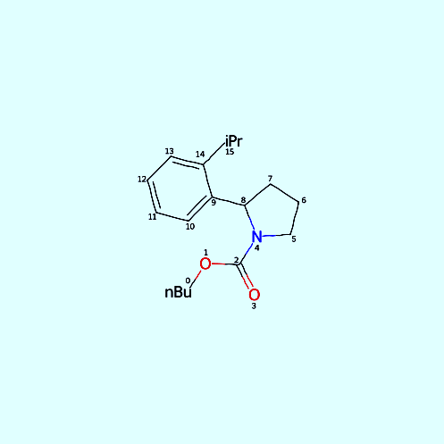 CCCCOC(=O)N1CCCC1c1ccccc1C(C)C